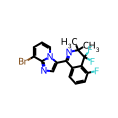 CC1(C)N=C(c2cnc3c(Br)cccn23)c2cccc(F)c2C1(F)F